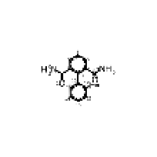 NC(=O)c1cccc(C(N)=O)c1-c1ccccc1F